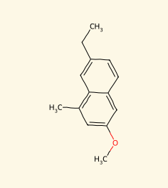 CCc1ccc2cc(OC)cc(C)c2c1